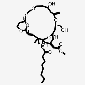 C=C1C[C@H](O)CCOCC[C@@H]2CCO[C@H](/C=C/C(C)(C)[C@]3(O)O[C@@H](C/C(=C\C(=O)OC)[C@@H]3OC(=O)CCCCCCC)C[C@H](CO)O1)O2